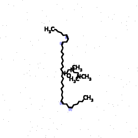 CCCCC/C=C\C/C=C\CCCCCCCCN(CCCCCCCC/C=C\C/C=C\CCCCC)C(=O)CN(C)CCN(C)C